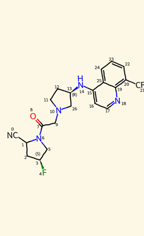 N#CC1C[C@H](F)CN1C(=O)CN1CC[C@@H](Nc2ccnc3c(C(F)(F)F)cccc23)C1